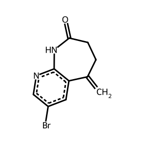 C=C1CCC(=O)Nc2ncc(Br)cc21